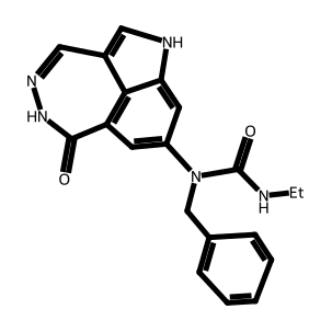 CCNC(=O)N(Cc1ccccc1)c1cc2c3c(c[nH]c3c1)C=NNC2=O